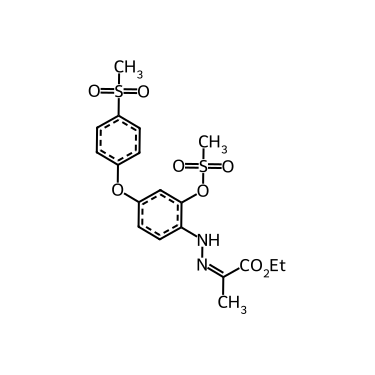 CCOC(=O)/C(C)=N\Nc1ccc(Oc2ccc(S(C)(=O)=O)cc2)cc1OS(C)(=O)=O